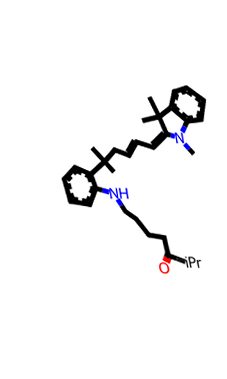 CC(C)C(=O)CCCCNc1ccccc1C(C)(C)C/C=C/C=C1/N(C)c2ccccc2C1(C)C